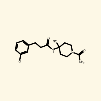 N#CC1(NC(=O)[CH]Cc2cccc(Cl)c2)CCN(C(N)=O)CC1